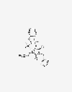 CC(=O)OCCN1C(=O)N(Cc2ccccc2)C(=O)C12CC(C)(C)N(Cc1ccccc1)C(C)(C)C2